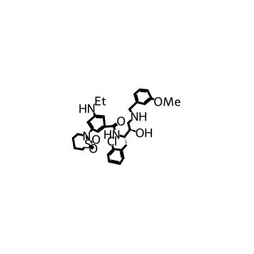 CCNc1cc(C(=O)N[C@@H](Cc2ccccc2Cl)[C@H](O)CNCc2cccc(OC)c2)cc(N2CCCCS2(=O)=O)c1